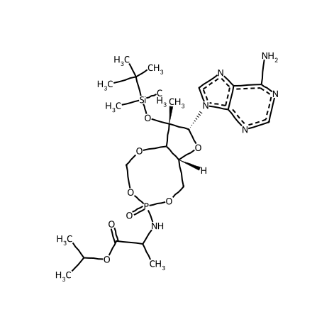 CC(C)OC(=O)C(C)NP1(=O)OCOC2[C@@H](CO1)O[C@@H](n1cnc3c(N)ncnc31)[C@@]2(C)O[Si](C)(C)C(C)(C)C